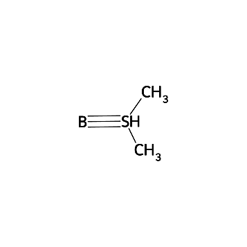 B#[SH](C)C